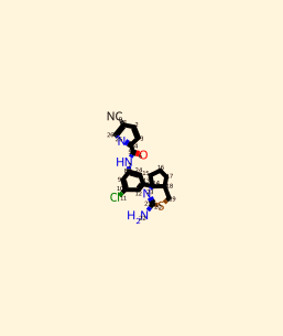 N#Cc1ccc(C(=O)Nc2cc(Cl)cc(C34CCCC3CSC(N)=N4)c2)nc1